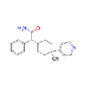 N#CC1(c2ccncc2)CCC(C(C(N)=O)c2ccccc2)CC1